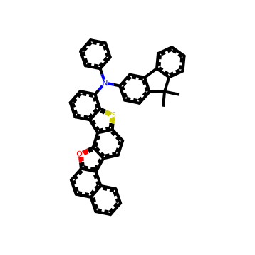 CC1(C)c2ccccc2-c2cc(N(c3ccccc3)c3cccc4c3sc3ccc5c(oc6ccc7ccccc7c65)c34)ccc21